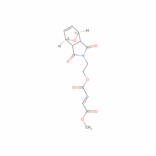 COC(=O)/C=C/C(=O)OCCN1C(=O)C2C(C1=O)[C@H]1C=C[C@@H]2O1